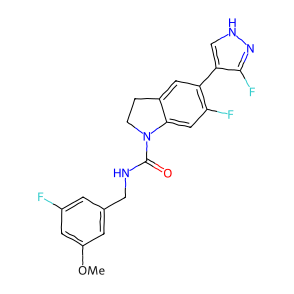 COc1cc(F)cc(CNC(=O)N2CCc3cc(-c4c[nH]nc4F)c(F)cc32)c1